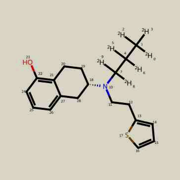 [2H]C([2H])([2H])C([2H])([2H])C([2H])([2H])N(CCc1cccs1)[C@H]1CCc2c(O)cccc2C1